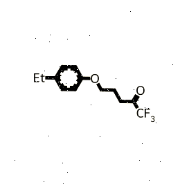 CCc1ccc(OCCCC(=O)C(F)(F)F)cc1